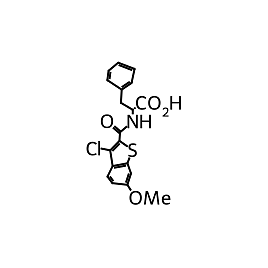 COc1ccc2c(Cl)c(C(=O)N[C@H](Cc3ccccc3)C(=O)O)sc2c1